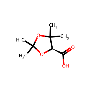 CC1(C)O[C@H](C(=O)O)C(C)(C)O1